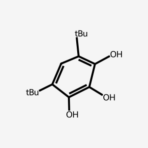 CC(C)(C)c1cc(C(C)(C)C)c(O)c(O)c1O